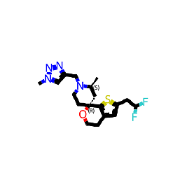 C[C@H]1C[C@@]2(CCN1Cc1cn(C)nn1)OCCc1cc(CC(F)F)sc12